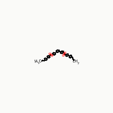 CCCCc1ccc(-c2ccc(C(=O)Oc3ccc(-c4cccc(-c5ccc(OC(=O)c6ccc(-c7ccc(CCCC)cc7)cc6)cc5)c4)cc3)cc2)cc1